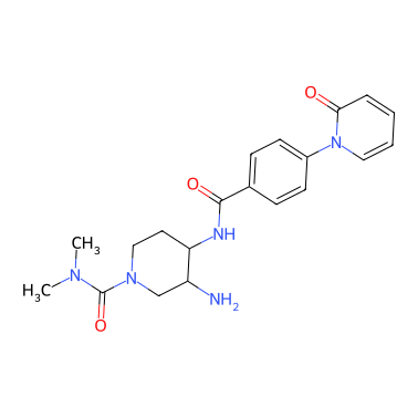 CN(C)C(=O)N1CCC(NC(=O)c2ccc(-n3ccccc3=O)cc2)C(N)C1